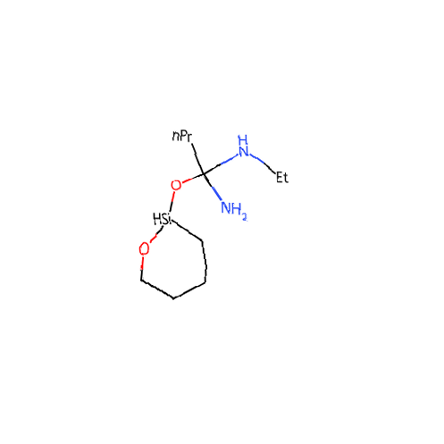 CCCC(N)(NCC)O[SiH]1CCCCO1